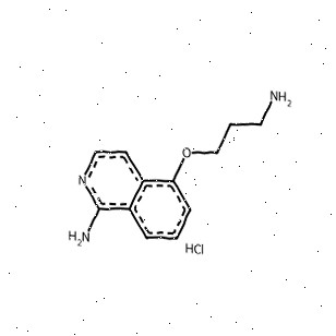 Cl.NCCCOc1cccc2c(N)nccc12